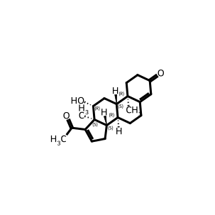 CC(=O)C1=CC[C@H]2[C@@H]3CCC4=CC(=O)CC[C@]4(C)[C@H]3C[C@@H](O)[C@]12C